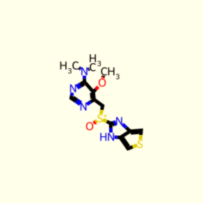 COc1c(C[S+]([O-])c2nc3cscc3[nH]2)ncnc1N(C)C